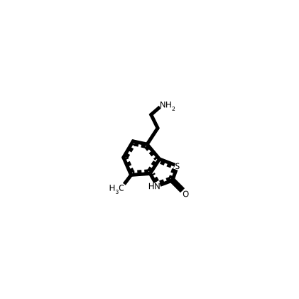 Cc1ccc(CCN)c2sc(=O)[nH]c12